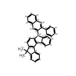 CC1(C)c2ccccc2-c2c1ccc1c2c2ccccc2n1-c1nc2ccccc2nc1-c1ccccc1